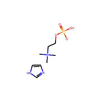 C[N+](C)(C)CCOP(=O)([O-])O.c1c[nH]cn1